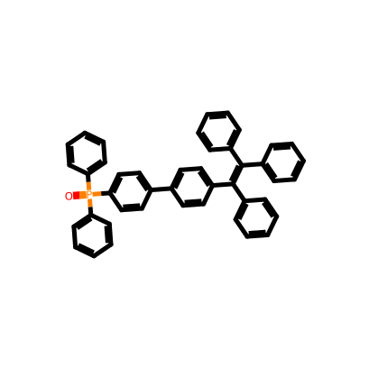 O=P(c1ccccc1)(c1ccccc1)c1ccc(-c2ccc(C(=C(c3ccccc3)c3ccccc3)c3ccccc3)cc2)cc1